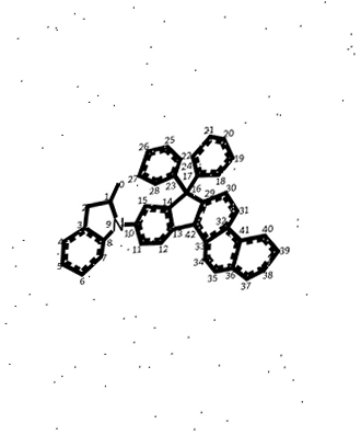 CC1Cc2ccccc2N1c1ccc2c(c1)C(c1ccccc1)(c1ccccc1)c1ccc3c(ccc4ccccc43)c1-2